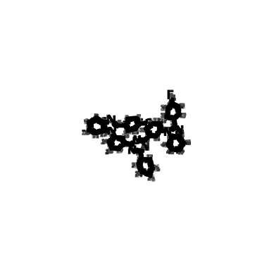 Fc1ccc(-c2nc3ccccc3n2-c2cccc(-c3nc(-c4ccccc4)nc(-c4cccc(-n5c(-c6ccc(F)cc6)nc6ccccc65)c4)n3)c2)cc1